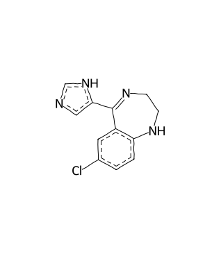 Clc1ccc2c(c1)C(c1cnc[nH]1)=NCCN2